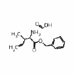 C=CC(C)C(N)C(=O)OCc1ccccc1.O=CO